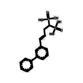 O=P(O)(O)C(C/C=C/c1cccc(-c2ccccc2)c1)P(=O)(O)O